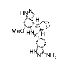 COc1cc2[nH]ncc2c2c1N[C@@H](c1ccc3c(N)n[nH]c3c1)[C@@H]1C3CCC(C3)[C@H]21